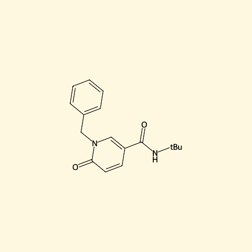 CC(C)(C)NC(=O)c1ccc(=O)n(Cc2ccccc2)c1